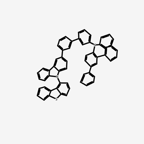 c1ccc(-c2ccc(N(c3ccccc3)c3cccc(-c4cccc(-c5ccc6c(c5)c5ccccc5n6-c5cccc6sc7ccccc7c56)c4)c3)c(-c3ccccc3)c2)cc1